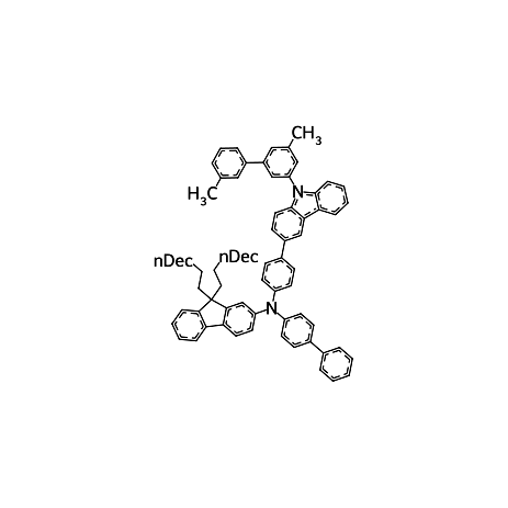 CCCCCCCCCCCCC1(CCCCCCCCCCCC)c2ccccc2-c2ccc(N(c3ccc(-c4ccccc4)cc3)c3ccc(-c4ccc5c(c4)c4ccccc4n5-c4cc(C)cc(-c5cccc(C)c5)c4)cc3)cc21